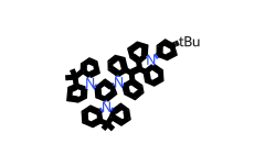 CC(C)(C)c1ccc(N2c3ccccc3C(=C3c4ccccc4N(c4cc(N5c6ccccc6C(C)(C)c6ccccc65)cc(N5c6ccccc6C(C)(C)c6ccccc65)c4)c4ccccc43)c3ccccc32)cc1